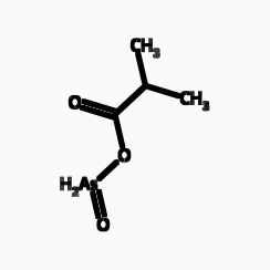 CC(C)C(=O)O[AsH2]=O